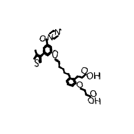 Cc1cscc1-c1cc(OCCCCCCc2cccc(OCCCC(=O)O)c2CCC(=O)O)cc(C(=O)N2CCN(C)CC2)c1